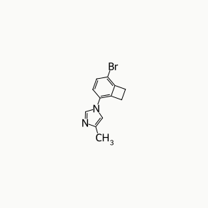 Cc1cn(-c2ccc(Br)c3c2CC3)cn1